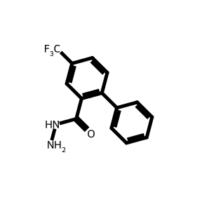 NNC(=O)c1cc(C(F)(F)F)ccc1-c1ccccc1